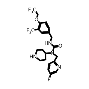 O=C(NCc1ccc(OCC(F)(F)F)c(C(F)(F)F)c1)N(Cc1ccc(F)cn1)C1CCNCC1